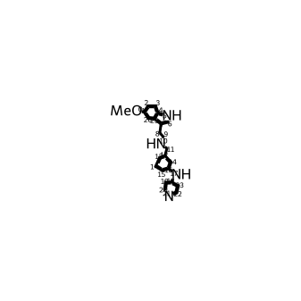 COc1ccc2[nH]cc(CCNCc3cccc(Nc4ccncc4)c3)c2c1